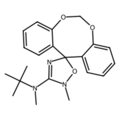 CN1OC2(N=C1N(C)C(C)(C)C)c1ccccc1OCOc1ccccc12